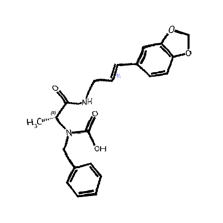 C[C@H](C(=O)NC/C=C/c1ccc2c(c1)OCO2)N(Cc1ccccc1)C(=O)O